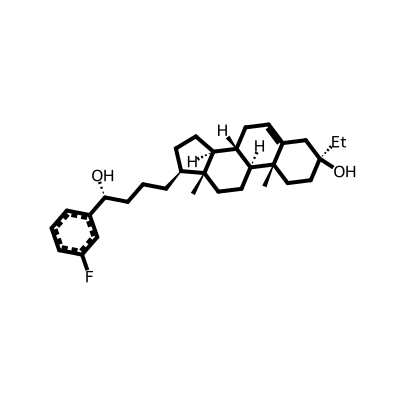 CC[C@]1(O)CC[C@@]2(C)C(=CC[C@H]3[C@@H]4CC[C@H](CCC[C@@H](O)c5cccc(F)c5)[C@@]4(C)CC[C@@H]32)C1